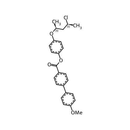 COc1ccc(-c2ccc(C(=O)Oc3ccc(O[C@@H](C)C[C@H](C)Cl)cc3)cc2)cc1